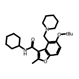 Cc1oc2ccc(OC(C)(C)C)c(CN3CCCCC3)c2c1C(=O)NC1CCCCC1